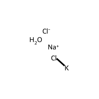 O.[Cl-].[Cl][K].[Na+]